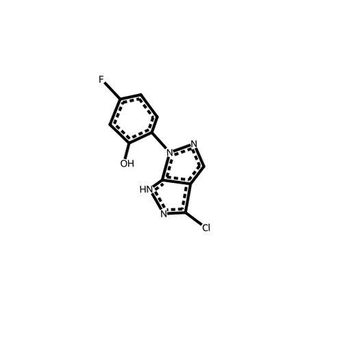 Oc1cc(F)ccc1-n1ncc2c(Cl)n[nH]c21